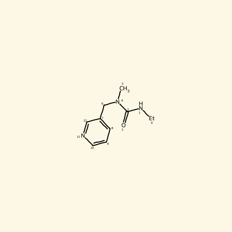 CCNC(=O)N(C)Cc1cccnc1